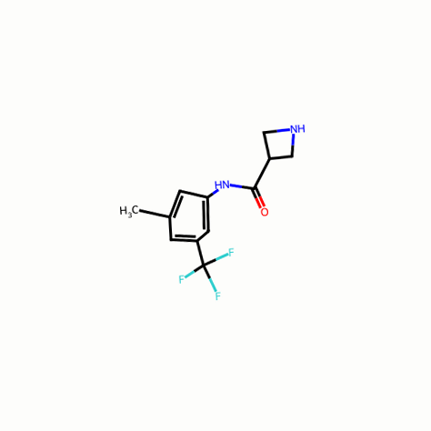 Cc1cc(NC(=O)C2CNC2)cc(C(F)(F)F)c1